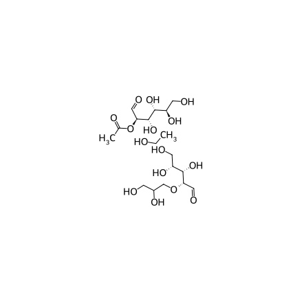 CC(=O)O[C@@H](C=O)[C@@H](O)[C@H](O)[C@H](O)CO.CCO.O=C[C@H](OCC(O)CO)[C@@H](O)[C@H](O)CO